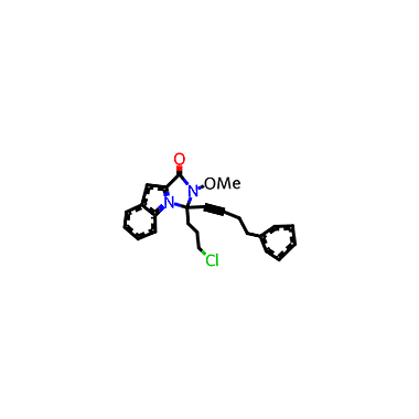 CON1C(=O)c2cc3ccccc3n2C1(C#CCCc1ccccc1)CCCCl